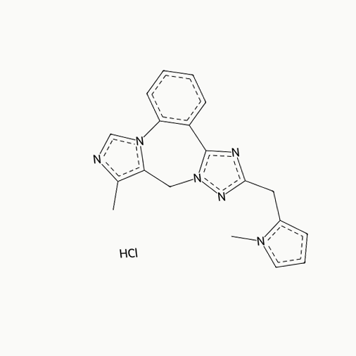 Cc1ncn2c1Cn1nc(Cc3cccn3C)nc1-c1ccccc1-2.Cl